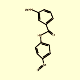 CC(=O)Nc1cccc(C(=O)Nc2ccc([As]=O)cc2)c1